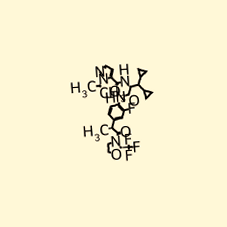 CC(C)n1nccc1C(=O)N[C@H](C(=O)Nc1ccc([C@H](C)C(=O)N2CCO[C@@H]2C(F)(F)F)cc1F)C(C1CC1)C1CC1